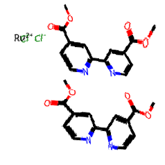 COC(=O)c1ccnc(-c2cc(C(=O)OC)ccn2)c1.COC(=O)c1ccnc(-c2cc(C(=O)OC)ccn2)c1.[Cl-].[Cl-].[Ru+2]